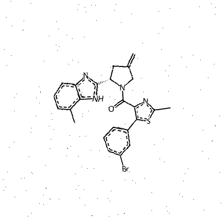 C=C1C[C@@H](c2nc3cccc(C)c3[nH]2)N(C(=O)c2nc(C)sc2-c2cccc(Br)c2)C1